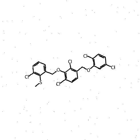 CSc1c(Cl)cccc1COc1c(Cl)ccc(COc2cc(Cl)ccc2Cl)c1Cl